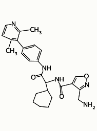 Cc1ccnc(C)c1-c1ccc(NC(=O)C(NC(=O)c2conc2CN)C2CCCCC2)cc1